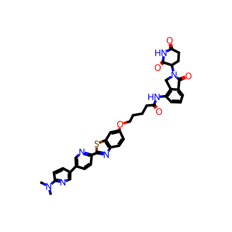 CN(C)c1ccc(-c2ccc(-c3nc4ccc(OCCCCC(=O)Nc5cccc6c5CN(C5CCC(=O)NC5=O)C6=O)cc4s3)nc2)cn1